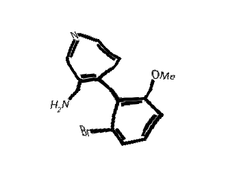 COc1cccc(Br)c1-c1ccncc1N